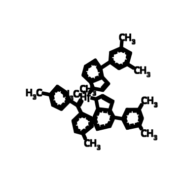 Cc1ccc([C](c2ccc(C)cc2)=[Hf]([CH3])([CH3])([CH]2C=Cc3c(-c4cc(C)cc(C)c4)cccc32)[CH]2C=Cc3c(-c4cc(C)cc(C)c4)cccc32)cc1